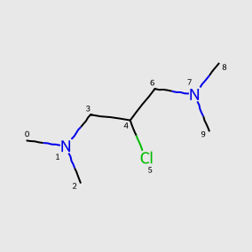 CN(C)CC(Cl)CN(C)C